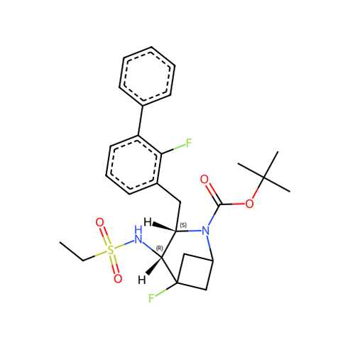 CCS(=O)(=O)N[C@@H]1[C@H](Cc2cccc(-c3ccccc3)c2F)N(C(=O)OC(C)(C)C)C2CC1(F)C2